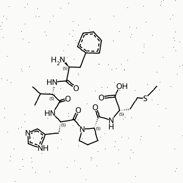 CSCC[C@H](NC(=O)[C@@H]1CCCN1C(=O)[C@H](Cc1cnc[nH]1)NC(=O)[C@@H](NC(=O)[C@@H](N)Cc1ccccc1)C(C)C)C(=O)O